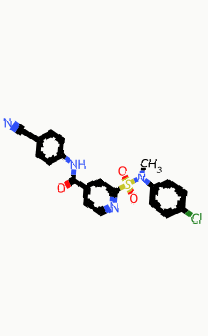 CN(c1ccc(Cl)cc1)S(=O)(=O)c1cc(C(=O)Nc2ccc(C#N)cc2)ccn1